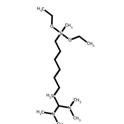 CCO[Si](C)(CCCCCC[SiH2]C(N(C)C)N(C)C)OCC